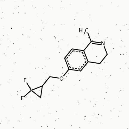 CC1=NCCc2cc(OCC3CC3(F)F)ccc21